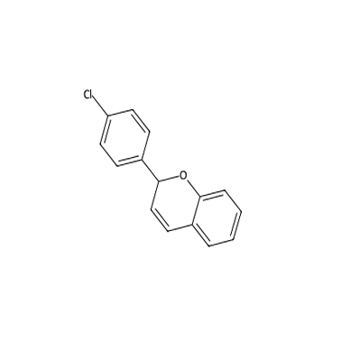 Clc1ccc(C2C=Cc3ccccc3O2)cc1